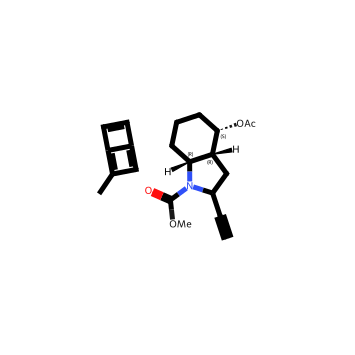 C#CC1C[C@H]2[C@@H](OC(C)=O)CCC[C@H]2N1C(=O)OC.Cc1cc2ccc1-2